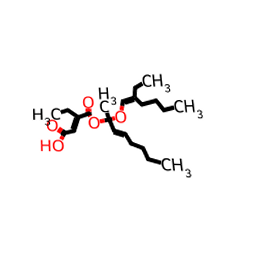 CCCCC=CC(C)(OC=C(CC)CCCC)OC(=O)C(=CC(=O)O)CC